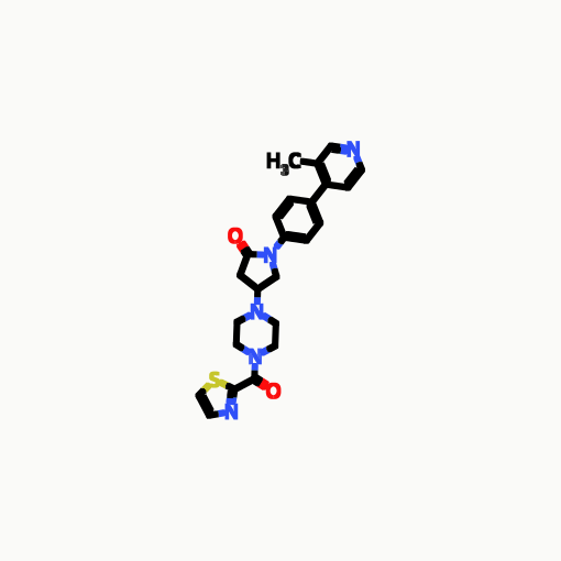 Cc1cnccc1-c1ccc(N2CC(N3CCN(C(=O)c4nccs4)CC3)CC2=O)cc1